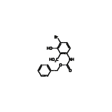 O=C(Nc1ccc(Br)c(O)c1C(=O)O)OCc1ccccc1